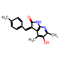 Cc1ccc(/C=C2\C(=O)Nc3nc(C)c(O)c(C)c32)cc1